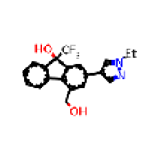 CCn1cc(-c2cc(CO)c3c(c2)C(O)(C(F)(F)F)c2ccccc2-3)cn1